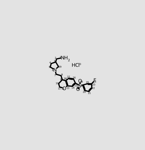 Cl.NCC1CCN(CCC2CCOc3cc(S(=O)(=O)c4cccc(F)c4)ccc32)C1